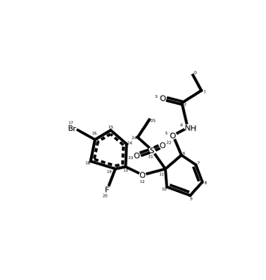 CCC(=O)NOC1C=CC=CC1(Oc1ccc(Br)cc1F)S(=O)(=O)CC